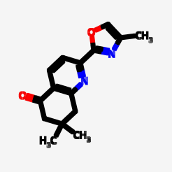 Cc1coc(-c2ccc3c(n2)CC(C)(C)CC3=O)n1